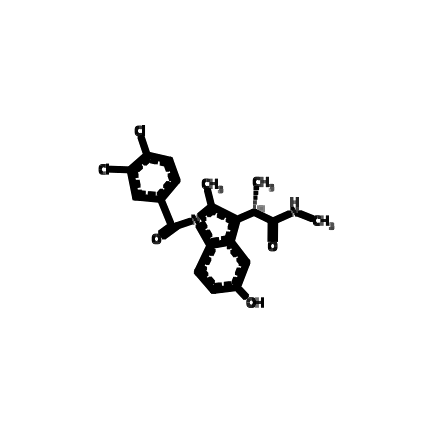 CNC(=O)[C@@H](C)c1c(C)n(C(=O)c2ccc(Cl)c(Cl)c2)c2ccc(O)cc12